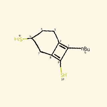 CCCCC1=C2CCC(S)CC2=C1S